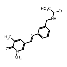 CC[C@H](NCc1cccc(/N=C/c2cc(C)c(=O)n(C)c2)c1)C(=O)O